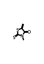 C=C1SC(=S)N(C)C1=O